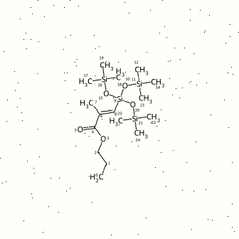 [CH2]CCOC(=O)C(C)=C[Si](O[Si](C)(C)C)(O[Si](C)(C)C)O[Si](C)(C)C